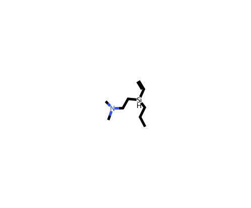 C=C[SiH](CCC)CCN(C)C